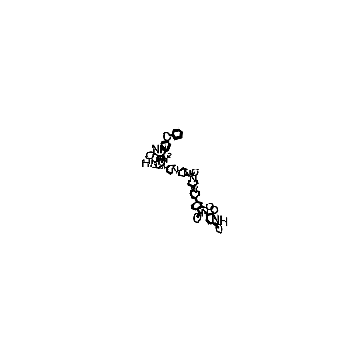 NC(=O)c1c(-c2ccc(Oc3ccccc3)cc2)nn2c1NCC[C@H]2C1CCN(C2CCN(C(=O)N3CCC(N4CCC(c5ccc6c(c5)C(=O)N(C5CCC(=O)NC5=O)C6=O)CC4)CC3)CC2)CC1